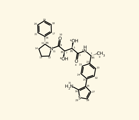 C[C@@H](NC(=O)[C@H](O)[C@@H](O)C(=O)N1CCC[C@@H]1c1ccccc1)c1ccc(-c2ccsc2N)cc1